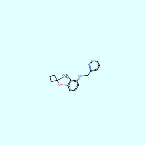 CC1(Oc2cccc(NCc3ccccn3)c2[N+](=O)[O-])CCC1